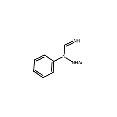 CC(=O)NN(C=N)c1ccccc1